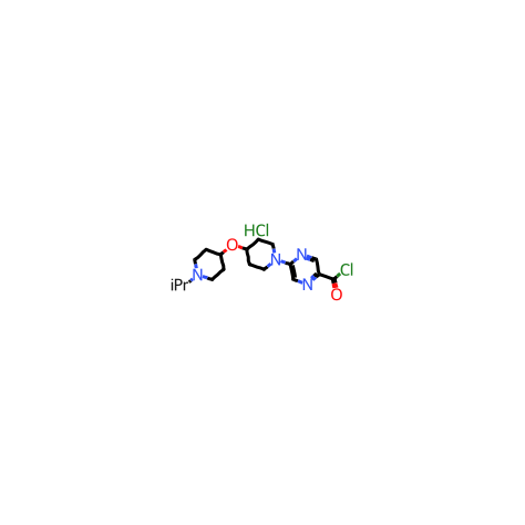 CC(C)N1CCC(OC2CCN(c3cnc(C(=O)Cl)cn3)CC2)CC1.Cl